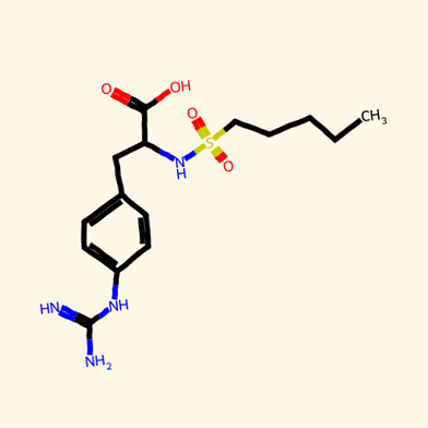 CCCCCS(=O)(=O)NC(Cc1ccc(NC(=N)N)cc1)C(=O)O